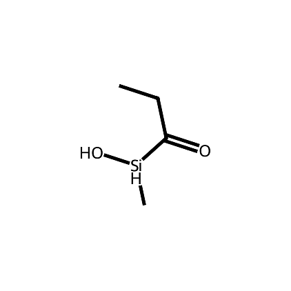 CCC(=O)[SiH](C)O